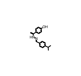 C=C(N/N=C/c1ccc(C(C)C)cc1)c1ccc(O)cc1